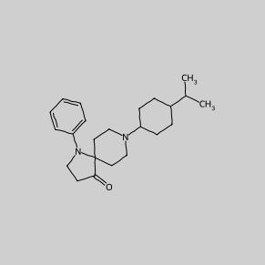 CC(C)C1CCC(N2CCC3(CC2)C(=O)CCN3c2ccccc2)CC1